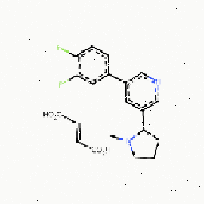 CN1CCCC1c1cncc(-c2ccc(F)c(F)c2)c1.O=C(O)/C=C/C(=O)O